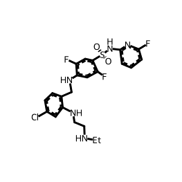 CCNCCNc1cc(Cl)ccc1CNc1cc(F)c(S(=O)(=O)Nc2cccc(F)n2)cc1F